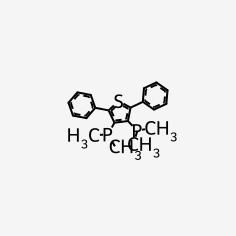 CP(C)c1c(-c2ccccc2)sc(-c2ccccc2)c1P(C)C